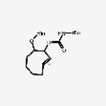 CC(C)(C)NC(=O)OC1/C=C/CCCCC1OC(C)(C)C